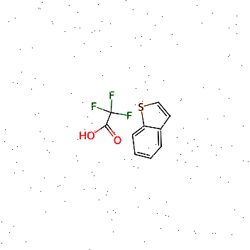 O=C(O)C(F)(F)F.c1ccc2sccc2c1